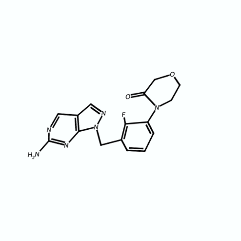 Nc1ncc2cnn(Cc3cccc(N4CCOCC4=O)c3F)c2n1